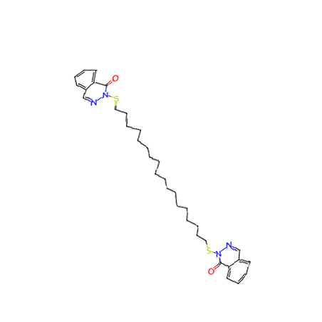 O=c1c2ccccc2cnn1SCCCCCCCCCCCCCCCCCCSn1ncc2ccccc2c1=O